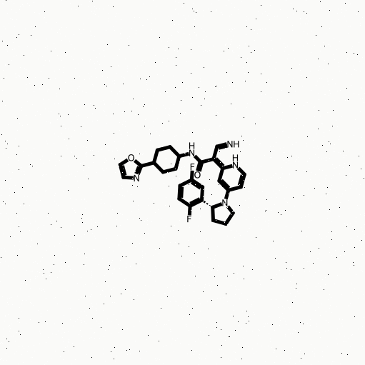 N=C/C(C(=O)NC1CCC(c2ncco2)CC1)=C1/C=C(N2CCC[C@@H]2c2cc(F)ccc2F)C=CN1